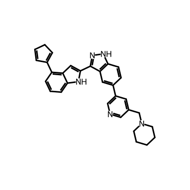 C1=CC(c2cccc3[nH]c(-c4n[nH]c5ccc(-c6cncc(CN7CCCCC7)c6)cc45)cc23)=CC1